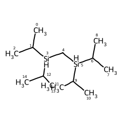 CC(C)[SiH](C[SiH](C(C)C)C(C)C)C(C)C